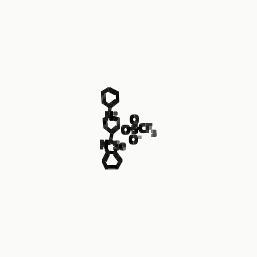 O=S(=O)([O-])C(F)(F)F.c1ccc(-[n+]2ccc(-c3nc4ccccc4[se]3)cc2)cc1